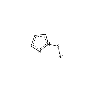 BrSn1cccn1